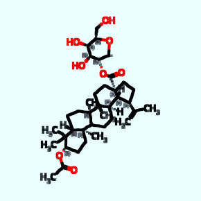 C=C(C)[C@@H]1CC[C@]2(C(=O)O[C@H]3[CH]O[C@H](CO)[C@H](O)[C@@H]3O)CC[C@]3(C)[C@H](CCC4[C@@]5(C)CC[C@H](OC(C)=O)C(C)(C)[C@@H]5CC[C@]43C)[C@@H]12